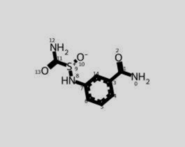 NC(=O)c1cccc(N[S+]([O-])C(N)=O)c1